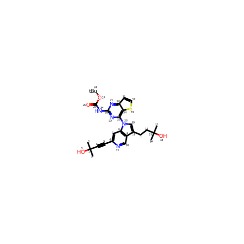 CC(C)(O)C#Cc1cc2c(cn1)c(CCC(C)(C)O)cn2-c1nc(NC(=O)OC(C)(C)C)nc2ccsc12